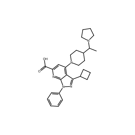 CC(C1CCN(c2cc(C(=O)O)nc3c2c(C2CCC2)nn3-c2ccccc2)CC1)N1CCCC1